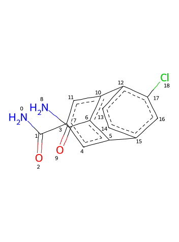 NC(=O)c1cc2c(C(N)=O)c(c1)-c1ccc-2cc1Cl